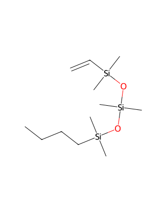 C=C[Si](C)(C)O[Si](C)(C)O[Si](C)(C)CCCC